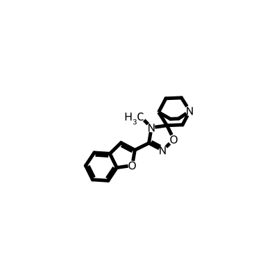 CN1C(c2cc3ccccc3o2)=NOC12CN1CCC2CC1